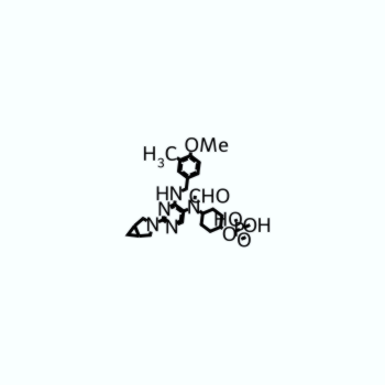 COc1ccc(CNc2nc(N3CC4CC4C3)ncc2N(C=O)C2CCC(OP(=O)(O)O)CC2)cc1C